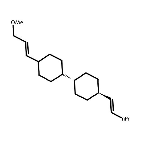 CCC/C=C/[C@H]1CC[C@H](C2CCC(/C=C/COC)CC2)CC1